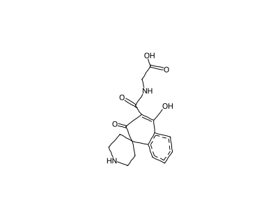 O=C(O)CNC(=O)C1=C(O)c2ccccc2C2(CCNCC2)C1=O